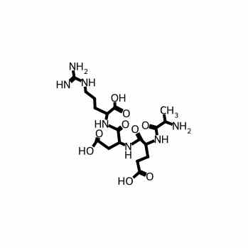 CC(N)C(=O)NC(CCC(=O)O)C(=O)NC(CC(=O)O)C(=O)NC(CCCNC(=N)N)C(=O)O